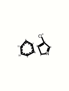 ClC1=CCN=C1.c1ccccc1